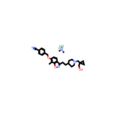 CNC.Cc1c(OCc2ccc(C#N)cc2)ccc2c(CCC3CCN(CC4(CO)CC4)CC3)noc12.Cl.Cl